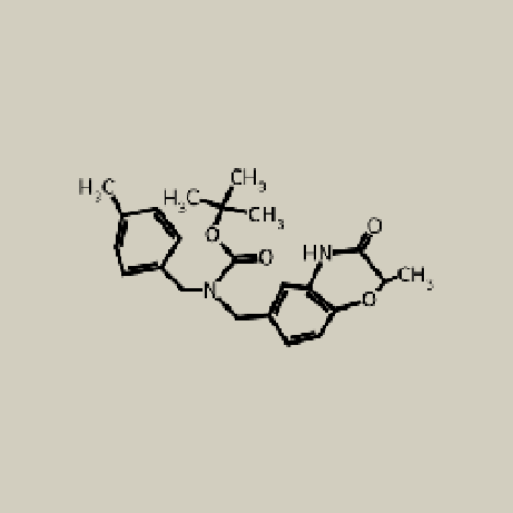 Cc1ccc(CN(Cc2ccc3c(c2)NC(=O)C(C)O3)C(=O)OC(C)(C)C)cc1